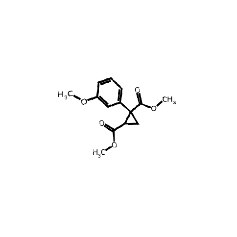 COC(=O)C1CC1(C(=O)OC)c1cccc(OC)c1